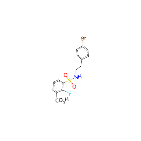 O=C(O)c1cccc(S(=O)(=O)NCCc2ccc(Br)cc2)c1F